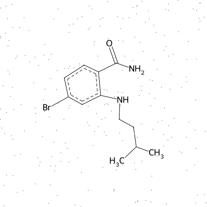 CC(C)CCNc1cc(Br)ccc1C(N)=O